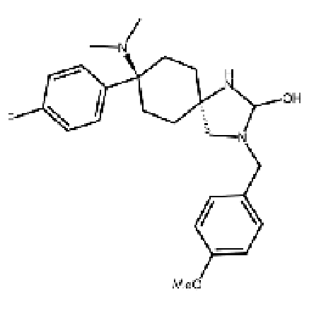 COc1ccc(CN2C[C@]3(CC[C@](c4ccc(F)cc4)(N(C)C)CC3)NC2O)cc1